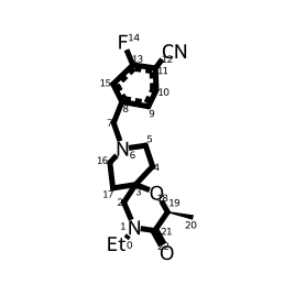 CCN1CC2(CCN(Cc3ccc(C#N)c(F)c3)CC2)O[C@@H](C)C1=O